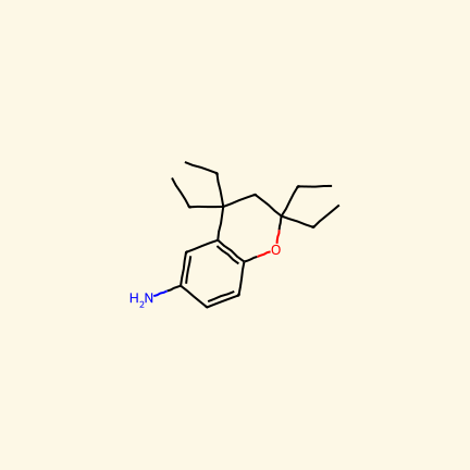 CCC1(CC)CC(CC)(CC)c2cc(N)ccc2O1